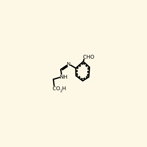 O=Cc1ccccc1/N=C\NCC(=O)O